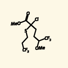 COC(=O)C(Cl)(CCC(OC)C(F)(F)F)SCCC(F)(F)F